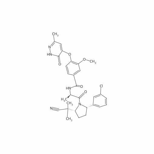 COc1cc(C(=O)N[C@H](C)C(=O)N2[C@H](c3cccc(Cl)c3)CC[C@@H]2C(C)(C)C#N)ccc1Oc1cc(C)n[nH]c1=O